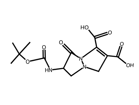 CC(C)(C)OC(=O)NC1CN2CC(C(=O)O)=C(C(=O)O)N2C1=O